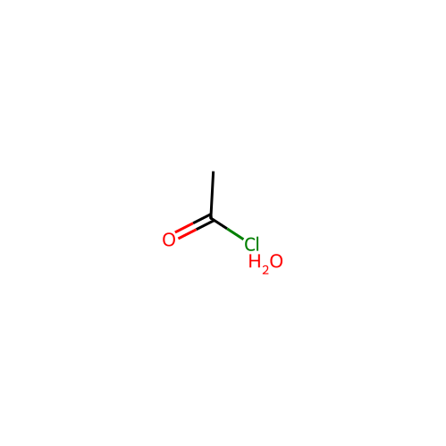 CC(=O)Cl.O